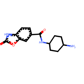 NC1CCC(NC(=O)c2ccc3[nH]c(=O)oc3c2)CC1